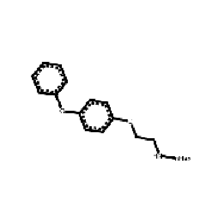 CCCCCCNCCOc1ccc(Oc2ccccc2)cc1